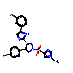 Cn1cnc(S(=O)(=O)N2C[C@@H](c3ccc(F)cc3)[C@H](c3ncc(-c4cccc(Cl)c4)[nH]3)C2)c1